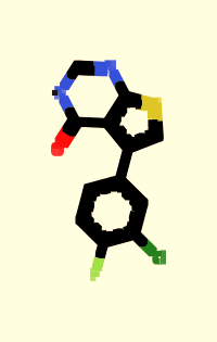 O=C1[N]C=Nc2scc(-c3ccc(F)c(Cl)c3)c21